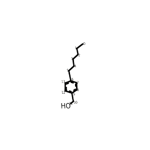 CCCCCCc1ccc(CO)cc1